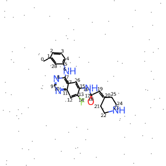 Cc1cccc(Nc2ncnc3cc(F)c(NC(=O)C=C4CCNCC4)cc23)c1